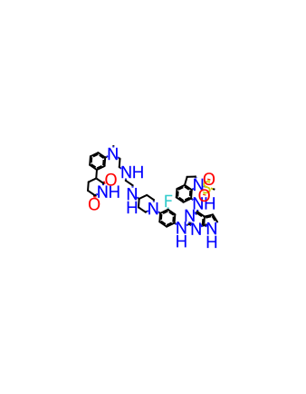 CN(CCNCCNC1CCN(c2ccc(Nc3nc(Nc4cccc5c4N(S(C)(=O)=O)CC5)c4cc[nH]c4n3)cc2F)CC1)c1cccc(C2CCC(=O)NC2=O)c1